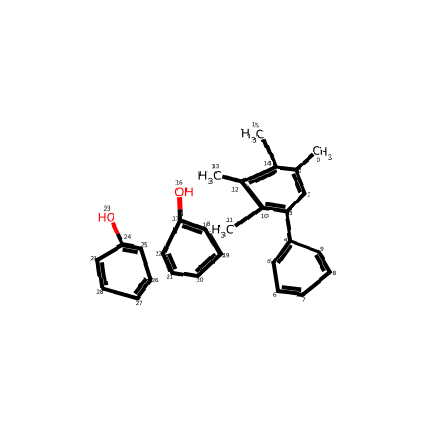 Cc1cc(-c2ccccc2)c(C)c(C)c1C.Oc1ccccc1.Oc1ccccc1